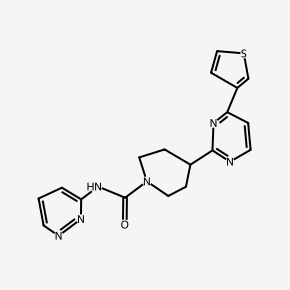 O=C(Nc1cccnn1)N1CCC(c2nccc(-c3ccsc3)n2)CC1